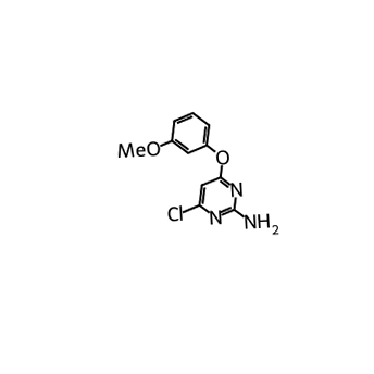 COc1cccc(Oc2cc(Cl)nc(N)n2)c1